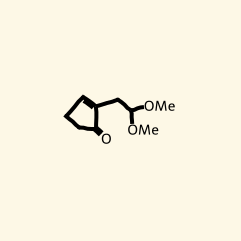 COC(CC1=CCCC1=O)OC